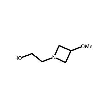 COC1CN(CCO)C1